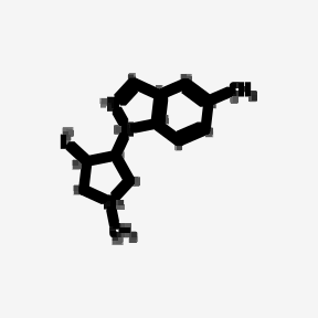 Cc1ccc2c(cnn2C2CN(C)CC2F)c1